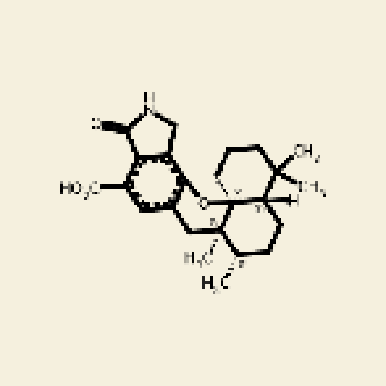 C[C@H]1CC[C@H]2C(C)(C)CCC[C@]23Oc2c(cc(C(=O)O)c4c2CNC4=O)C[C@]13C